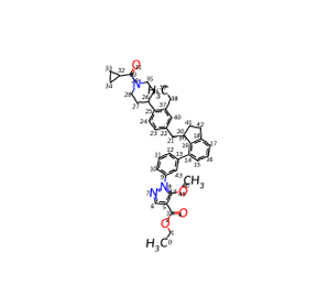 CCOC(=O)c1cnn(-c2cccc(-c3cccc4c3[C@@H](Cc3ccc(C5CCN(C(=O)C6CC6)CC5)c(CC)c3)CC4)c2)c1OC